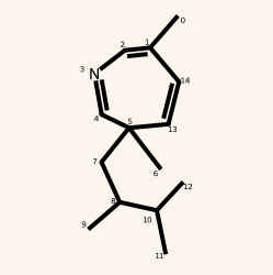 CC1=CN=CC(C)(CC(C)C(C)C)C=C1